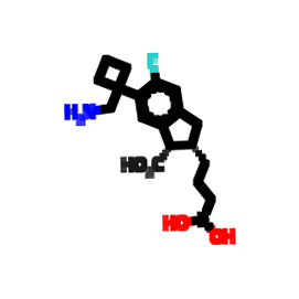 NCC1(c2cc3c(cc2F)C[C@H](CCCB(O)O)[C@@H]3C(=O)O)CCC1